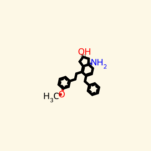 COc1cccc(CCC2=C3C[C@H](O)C[C@]3(N)CC=C2Cc2ccccc2)c1